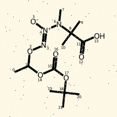 CC(ON=[N+]([O-])N(C)C(C)(C)C(=O)O)OC(=O)OC(C)(C)C